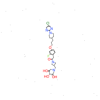 O=C(Cc1ccc(OCCCC2CCN(c3ncc(Cl)cn3)CC2)cc1F)N1CC(CN2C[C@@H](O)C(O)[C@@H](O)C2)C1